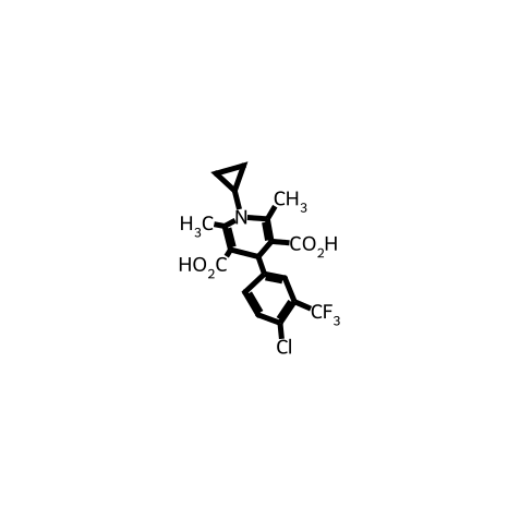 CC1=C(C(=O)O)C(c2ccc(Cl)c(C(F)(F)F)c2)C(C(=O)O)=C(C)N1C1CC1